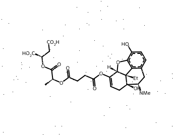 CC[C@]12c3c4ccc(O)c3O[C@H]1C(OC(=O)CCC(=O)O[C@@H](C)C(=O)O[C@H](CC(=O)O)C(=O)O)=CC[C@@]2(O)[C@H](NC)C4